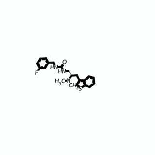 CN(C)[C@H](CNC(=O)NCc1cccc(F)c1)Cc1csc2ccccc12